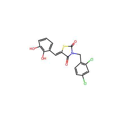 O=C1S/C(=C\c2cccc(O)c2O)C(=O)N1Cc1ccc(Cl)cc1Cl